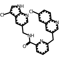 O=C(NCc1cnc2[nH]cc(Cl)c2c1)c1cccc(Cc2cnc3ccc(Cl)cc3c2)n1